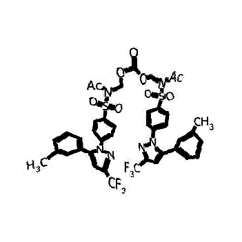 CC(=O)N(COC(=O)OCN(C(C)=O)S(=O)(=O)c1ccc(-n2nc(C(F)(F)F)cc2-c2cccc(C)c2)cc1)S(=O)(=O)c1ccc(-n2nc(C(F)(F)F)cc2-c2cccc(C)c2)cc1